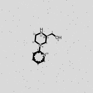 OC[C@H]1CN(c2cc[c]cn2)CCN1